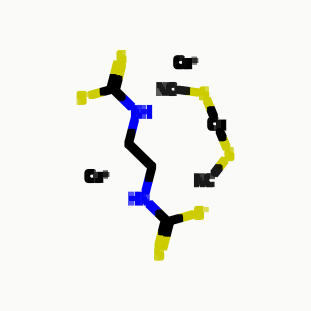 N#C[S][Cu][S]C#N.S=C([S-])NCCNC(=S)[S-].[Cu+].[Cu+]